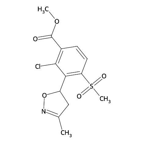 COC(=O)c1ccc(S(C)(=O)=O)c(C2CC(C)=NO2)c1Cl